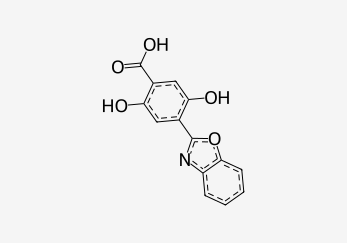 O=C(O)c1cc(O)c(-c2nc3ccccc3o2)cc1O